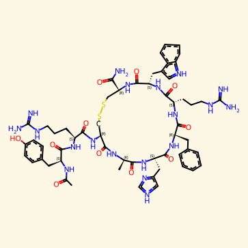 CC(=O)N[C@@H](Cc1ccc(O)cc1)C(=O)N[C@@H](CCCNC(=N)N)C(=O)N[C@H]1CSSC[C@@H](C(N)=O)NC(=O)[C@H](Cc2c[nH]c3ccccc23)NC(=O)[C@H](CCCNC(=N)N)NC(=O)[C@@H](Cc2ccccc2)NC(=O)[C@H](Cc2c[nH]cn2)NC(=O)[C@@H](C)NC1=O